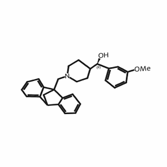 COc1cccc([C@H](O)C2CCN(CC34CC(c5ccccc53)c3ccccc34)CC2)c1